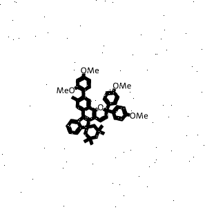 COc1ccc(C2(c3ccc(OC)cc3)C=Cc3c4c(c5cc(C)c(-c6ccc(OC)cc6OC)cc5c3O2)-c2ccccc2C42CC(C)(C)CC(C)(C)C2)cc1